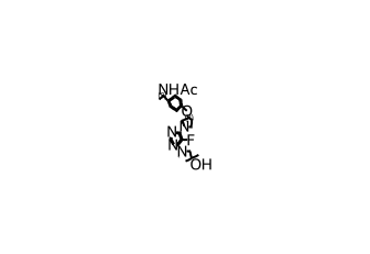 CC(=O)N[C@@H](C)c1ccc(O[C@@H]2CCN(c3ncnc(N(C)CC(C)(C)O)c3F)C2)cc1